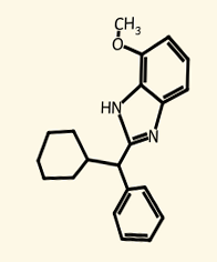 COc1cccc2nc(C(c3ccccc3)C3CCCCC3)[nH]c12